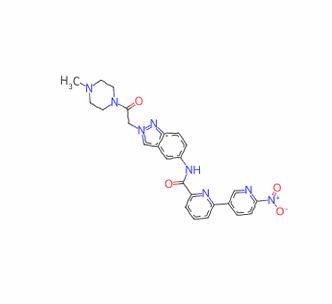 CN1CCN(C(=O)Cn2cc3cc(NC(=O)c4cccc(-c5ccc([N+](=O)[O-])nc5)n4)ccc3n2)CC1